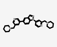 c1cc(-n2ncc3cc(-c4cncc(CN5CCCCC5)c4)ccc32)cc(CN2CCCCC2)n1